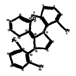 CC(C)c1cccc(C(C)C)c1N1C=CN(c2c(C(C)C)cccc2C(C)C)C1=C1CC=N[C]=C1Cl